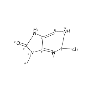 Cn1c(=O)[nH]c2c1=NC(Cl)NC=2